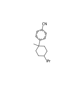 CC(C)C1CCC(C)(c2ccc(C#N)cc2)CC1